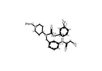 CCCC(C)N1CCC(N(Cc2cccc(NC(=O)CCl)c2)C(=O)Nc2cccc(C(F)(F)F)c2)CC1